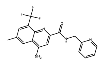 Cc1cc(C(F)(F)F)c2nc(C(=O)NCc3ccccn3)cc(N)c2c1